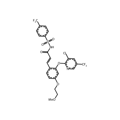 COCCOc1ccc(/C=C/C(=O)NS(=O)(=O)c2ccc(C(F)(F)F)cc2)c(Oc2ncc(C(F)(F)F)cc2Cl)c1